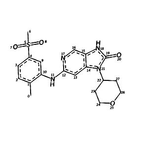 Cc1ccc(S(C)(=O)=O)cc1Nc1cc2c(cn1)[nH]c(=O)n2C1CCOCC1